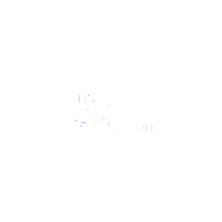 CC(C)(O)[C@H](F)CNC(=O)c1cn[c]cc1NC1CCC1